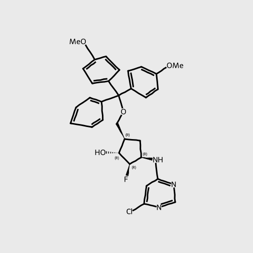 COc1ccc(C(OC[C@H]2C[C@@H](Nc3cc(Cl)ncn3)[C@@H](F)[C@@H]2O)(c2ccccc2)c2ccc(OC)cc2)cc1